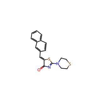 O=C1N=C(N2CCSCC2)S/C1=C\c1ccc2ccccc2c1